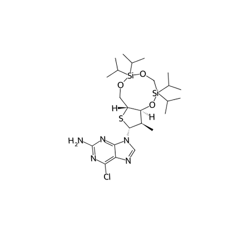 CC(C)[Si]1(C(C)C)CO[Si](C(C)C)(C(C)C)OC[C@H]2S[C@@H](n3cnc4c(Cl)nc(N)nc43)[C@H](C)[C@@H]2O1